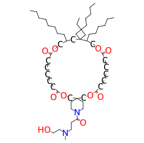 CCCCCCCCC1COC(=O)CCCCCC(=O)OCC2(CCN(C(=O)CCN(C)CCO)CC2)COC(=O)CCCCCC(=O)OCC(CCCCCC)C2(C1)CC(CC)(CCCCC)C2